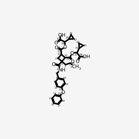 CCCC1(C(=O)NCc2ccc(Oc3ccccc3)cc2)CC(C(=O)OC(C(=O)O)C2CC2)C1C(=O)OC(C(=O)O)C1CC1